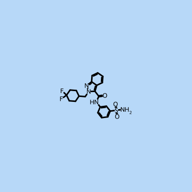 NS(=O)(=O)c1cccc(NC(=O)c2c3ccccc3nn2CC2CCC(F)(F)CC2)c1